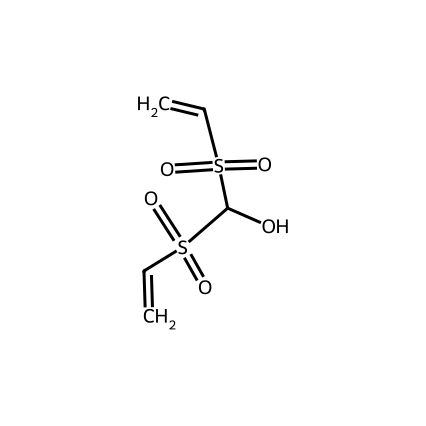 C=CS(=O)(=O)C(O)S(=O)(=O)C=C